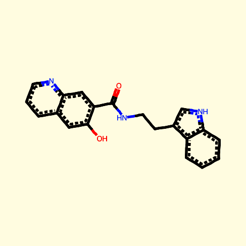 O=C(NCCc1c[nH]c2ccccc12)c1cc2ncccc2cc1O